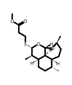 COC(=O)CCS[C@@H]1O[C@@H]2O[C@@]3(C)CC[C@H]4[C@H](C)CC[C@@H]([C@H]1C)[C@@]24OO3